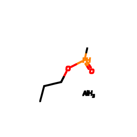 CCCO[PH](C)=O.[AlH3]